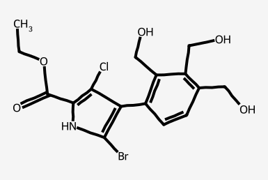 CCOC(=O)c1[nH]c(Br)c(-c2ccc(CO)c(CO)c2CO)c1Cl